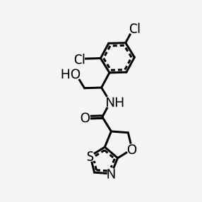 O=C(NC(CO)c1ccc(Cl)cc1Cl)C1COc2ncsc21